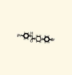 CC(C)c1ccc(NC(=O)N2CCN(c3ccc(Br)cc3)CC2)cc1